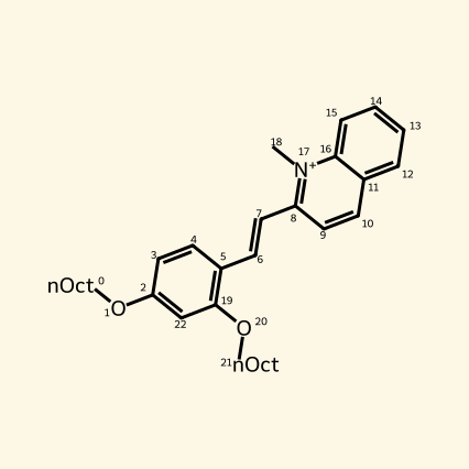 CCCCCCCCOc1ccc(/C=C/c2ccc3ccccc3[n+]2C)c(OCCCCCCCC)c1